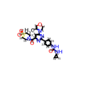 C[C@H]1COCCN1c1cc(C(=O)N2CCS(=O)(=O)CC2)nc(-c2ccc(NC(=O)NC3CC3)cc2)n1